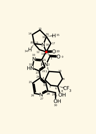 O=C(N[C@H]1CC[C@@](O)(C(F)(F)F)CC1)[C@@H]1C[C@H]2CC[C@@H](C1)N2C(=O)c1cc(-c2ccnc(CO)c2)[nH]n1